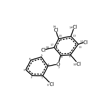 Clc1ccccc1Oc1c(Cl)c(Cl)c(Cl)c(Cl)c1Cl